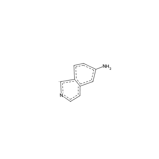 Nc1ccc2[c]nccc2c1